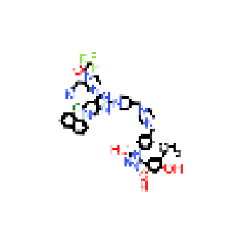 CCc1cc(-c2nnc(O)n2-c2ccc(CN3CCN(CC4CCN(c5nc6c(c(N7CCN(C(=O)C(F)(F)F)C(CC#N)C7)n5)CCN(c5cccc7cccc(Cl)c57)C6)CC4)CC3)cc2)c(O)cc1O